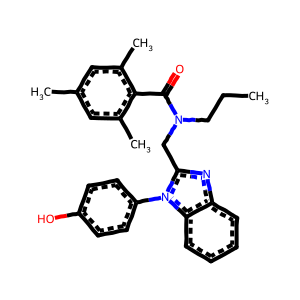 CCCN(Cc1nc2ccccc2n1-c1ccc(O)cc1)C(=O)c1c(C)cc(C)cc1C